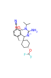 CC(C)N(CO)/C(N)=N\C1c2cc(C#N)ccc2C[C@]12CC[C@@H](OC(F)F)CC2